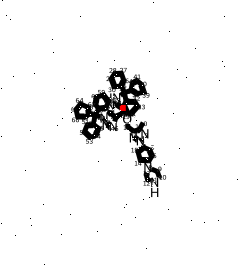 Cc1nn(-c2ccc(N3CCNCC3)cc2)nc1COc1cc(NC(c2ccccc2)(c2ccccc2)c2ccccc2)nc2c1nnn2C(c1ccccc1)(c1ccccc1)c1ccccc1